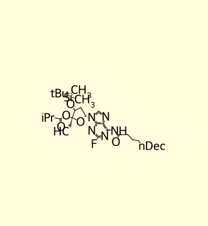 C#C[C@]1(OC(=O)C(C)C)O[C@@H](n2cnc3c(NC(=O)CCCCCCCCCCCCC)nc(F)nc32)C[C@@H]1O[Si](C)(C)C(C)(C)C